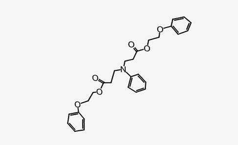 O=C(CCN(CCC(=O)OCCOc1ccccc1)c1ccccc1)OCCOc1ccccc1